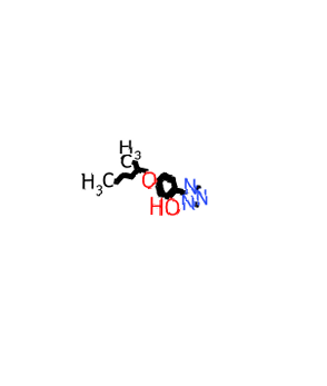 CCCCC(CC)COc1ccc(-c2ncncn2)c(O)c1